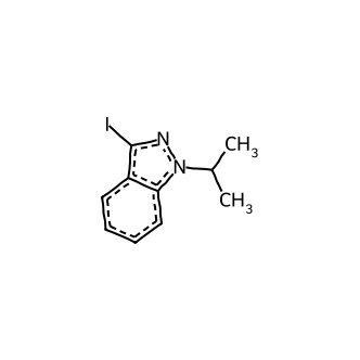 CC(C)n1nc(I)c2ccccc21